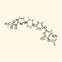 CS(=O)(=O)Nc1nccc(N2CCN(c3ccc(Oc4cc(Cl)c(OC5CC5)c(C#N)c4)cc3)CC2)n1